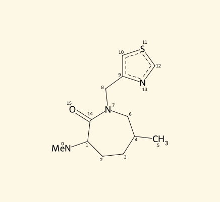 CNC1CCC(C)CN(Cc2cscn2)C1=O